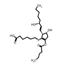 CCCCC[C@H](O)/C=C/[C@@H]1C(SCCCCCC(=O)O)=C(OC(=O)CCCC)C[C@H]1O